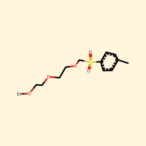 CCOCCOCCOCS(=O)(=O)c1ccc(C)cc1